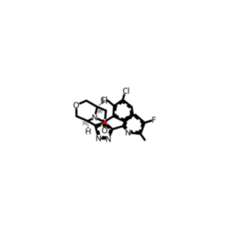 Cc1nc(-c2nnc3n2C[C@@H]2COC[C@H]3N2C(=O)c2cccc(Cl)c2Cl)ccc1F